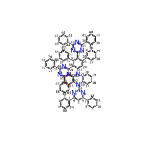 c1ccc(-c2cc(-c3ccccc3)nc(N3c4ccccc4N(c4cc(-c5ccccc5)c(-c5nc(-c6ccccc6)nc(-c6ccccc6)n5)c(-c5ccccc5)c4-c4nc(-c5ccccc5)nc(-c5ccccc5)n4)c4ccccc43)n2)cc1